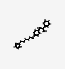 N=C(Nc1ccc(OCCCCCn2cncn2)cc1)c1ccccn1